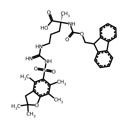 Cc1c(C)c(S(=O)(=O)NC(=N)NCCC[C@](C)(NC(=O)OCC2c3ccccc3-c3ccccc32)C(=O)O)c(C)c2c1OC(C)(C)C2